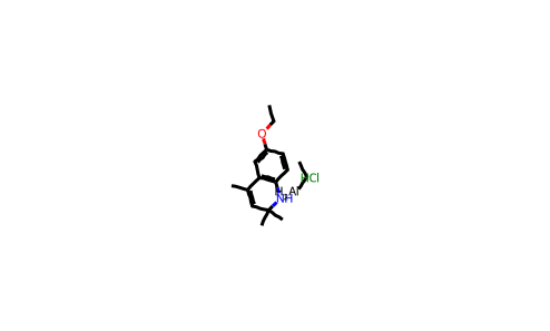 CCOc1ccc2c(c1)C(C)=CC(C)(C)N2.C[CH2][AlH2].Cl